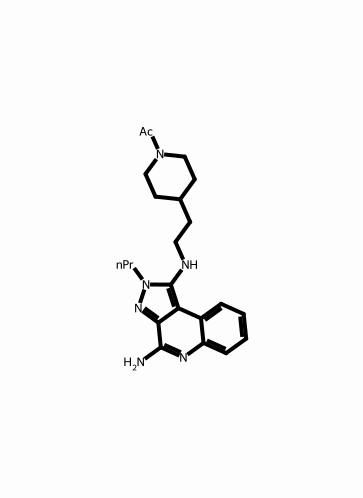 CCCn1nc2c(N)nc3ccccc3c2c1NCCC1CCN(C(C)=O)CC1